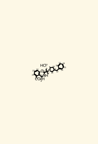 C[C@H](NC(=O)C(C)(C)N1CCC(Cc2ccccc2)C1)c1ccccc1C(=O)O.Cl